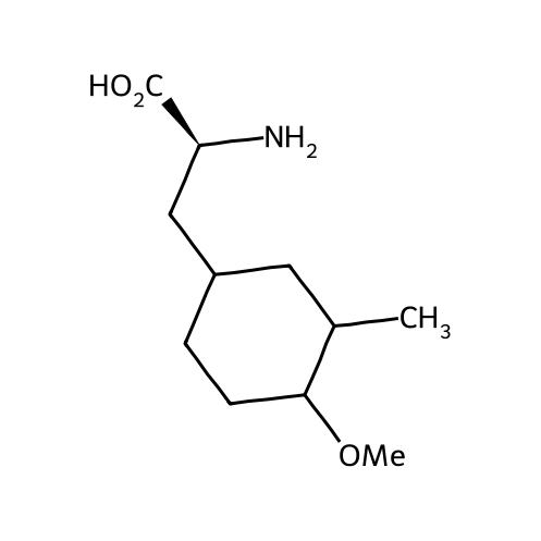 COC1CCC(C[C@H](N)C(=O)O)CC1C